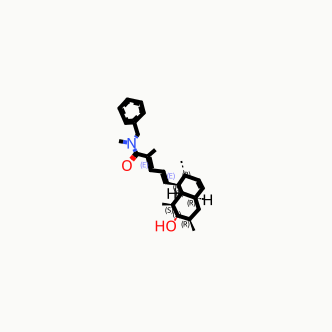 C/C(=C\C=C\[C@@H]1[C@@H]2[C@H](C)[C@@H](O)[C@H](C)C[C@@H]2C=C[C@H]1C)C(=O)N(C)Cc1ccccc1